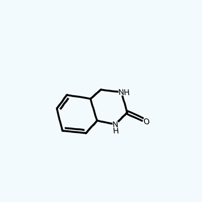 O=C1NCC2C=CC=CC2N1